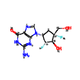 Nc1nc2c(ncn2[C@@H]2C[C@@](F)(CO)[C@@H](O)[C@@H]2F)c(=O)[nH]1